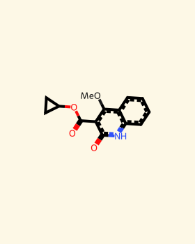 COc1c(C(=O)OC2CC2)c(=O)[nH]c2ccccc12